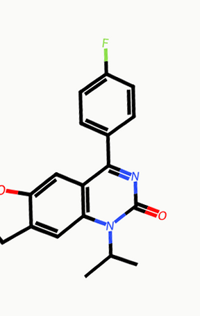 CC(C)n1c(=O)nc(-c2ccc(F)cc2)c2cc3c(cc21)CCO3